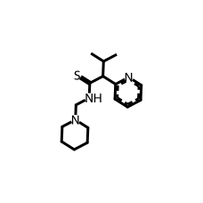 CC(C)C(C(=S)NCN1CCCCC1)c1ccccn1